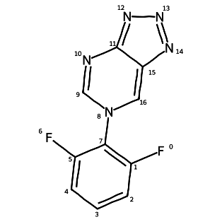 Fc1cccc(F)c1-n1cnc2nnnc-2c1